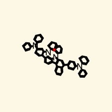 C1=CC2c3ccc4c5c6ccccc6c(-c6ccc(N(c7ccccc7)c7ccccc7)cc6)cc5n(-c5ccccc5)c4c3N(c3ccccc3)C2C=C1N(c1ccccc1)c1ccccc1